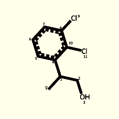 [CH2]C(CO)c1cccc(Cl)c1Cl